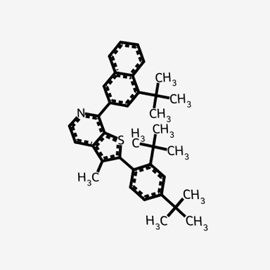 Cc1c(-c2ccc(C(C)(C)C)cc2C(C)(C)C)sc2c(-c3cc(C(C)(C)C)c4ccccc4c3)nccc12